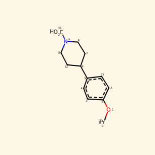 CC(C)Oc1ccc(C2CCN(C(=O)O)CC2)cc1